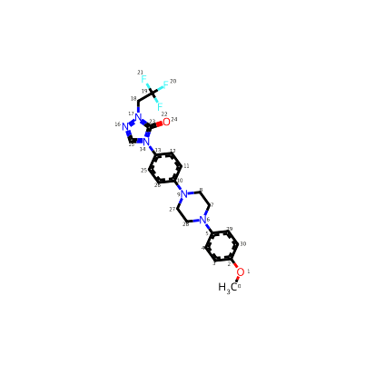 COc1ccc(N2CCN(c3ccc(-n4cnn(CC(F)(F)F)c4=O)cc3)CC2)cc1